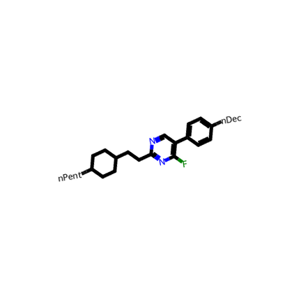 CCCCCCCCCCc1ccc(-c2cnc(CCC3CCC(CCCCC)CC3)nc2F)cc1